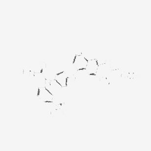 COCCOc1cc2nccc(Oc3ccc(N(C(N)=O)c4cccc(S(C)(=O)=O)c4)cc3)c2cc1C#N